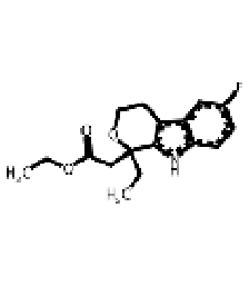 CCOC(=O)CC1(CC)OCCc2c1[nH]c1ccc(F)cc21